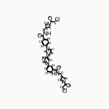 O=C(NCC1CN(C(=O)CCl)C1)c1ccc(-n2cc[n+](-c3cn(-c4cccc(C(=O)NCC5CN(C(=O)CCl)C5)c4)cn3)c2)cc1